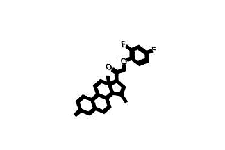 CC1CCC2C(CCC3C2CCC2(C)C(C(=O)COc4ccc(F)cc4F)CC(C)C32)C1